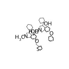 CN1Cc2cc(OCc3cccs3)ccc2C(C2(O)CCCCC2)C1.CN1Cc2cc(Oc3ccccc3)ccc2C(C2(O)CCCCC2)C1